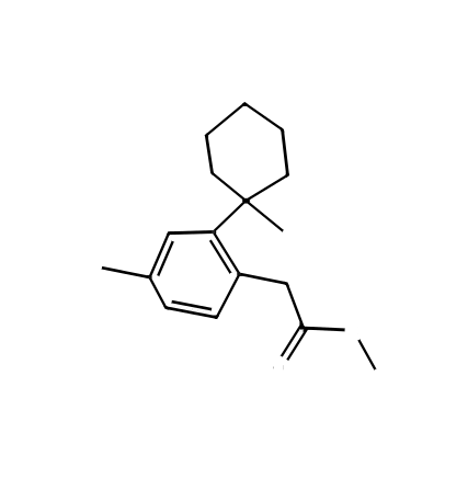 COC(=O)Cc1ccc(F)cc1C1(C)CCCCC1